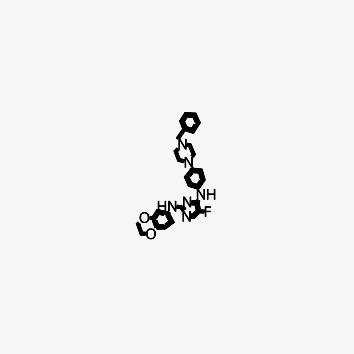 Fc1cnc(Nc2ccc3c(c2)OCCO3)nc1Nc1ccc(N2CCN(Cc3ccccc3)CC2)cc1